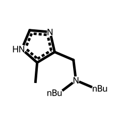 CCCCN(CCCC)Cc1nc[nH]c1C